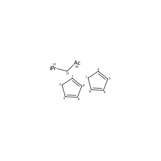 C1=CCC=C1.C1=CCC=C1.CC(=O)CC(C)C